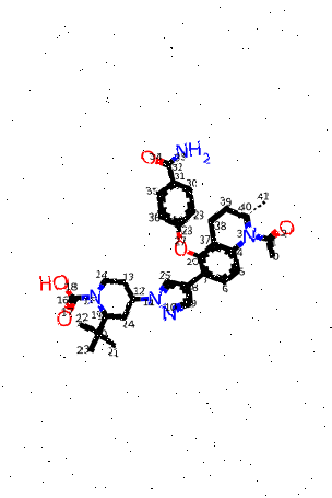 CC(=O)N1c2ccc(-c3cnn(C4CCN(C(=O)O)C(C(C)(C)C)C4)c3)c(Oc3ccc(C(N)=O)cc3)c2CC[C@@H]1C